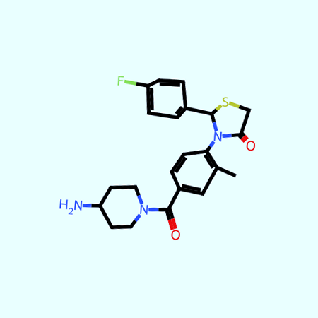 Cc1cc(C(=O)N2CCC(N)CC2)ccc1N1C(=O)CSC1c1ccc(F)cc1